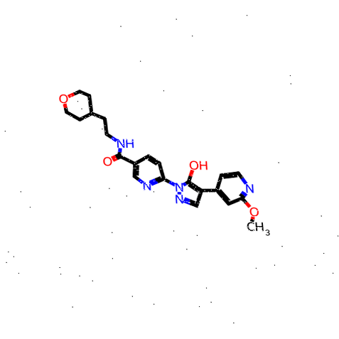 COc1cc(-c2cnn(-c3ccc(C(=O)NCCC4CCOCC4)cn3)c2O)ccn1